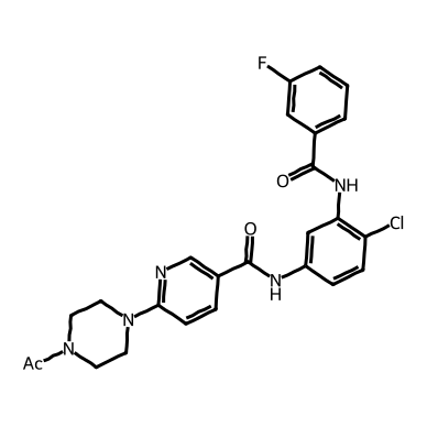 CC(=O)N1CCN(c2ccc(C(=O)Nc3ccc(Cl)c(NC(=O)c4cccc(F)c4)c3)cn2)CC1